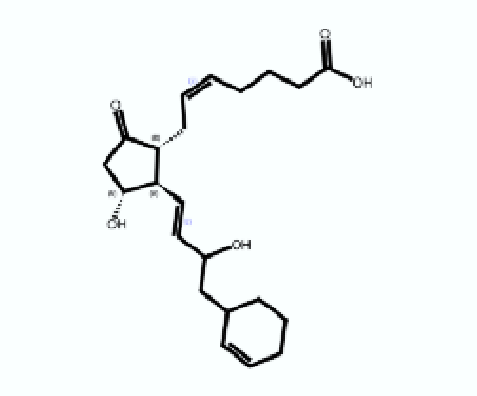 O=C(O)CCC/C=C\C[C@H]1C(=O)C[C@@H](O)[C@@H]1/C=C/C(O)CC1C=CCCC1